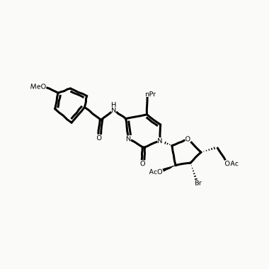 CCCc1cn([C@@H]2O[C@H](COC(C)=O)[C@H](Br)[C@H]2OC(C)=O)c(=O)nc1NC(=O)c1ccc(OC)cc1